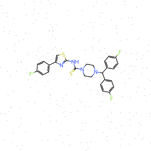 Fc1ccc(-c2csc(NC(=S)N3CCN(C(c4ccc(F)cc4)c4ccc(F)cc4)CC3)n2)cc1